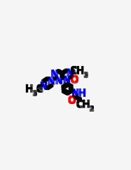 C=CC(=O)Nc1cccc(N2C(=O)N(C)Cc3cnc(N4CCN(C)CC4)nc32)c1